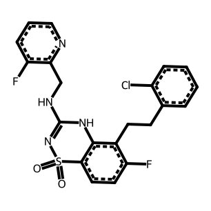 O=S1(=O)N=C(NCc2ncccc2F)Nc2c1ccc(F)c2CCc1ccccc1Cl